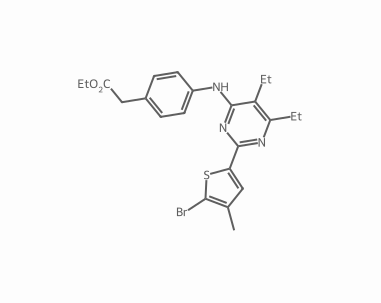 CCOC(=O)Cc1ccc(Nc2nc(-c3cc(C)c(Br)s3)nc(CC)c2CC)cc1